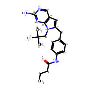 CCCC(=O)Nc1ccc(Cc2cc3cnc(N)nc3n2CC(C)(C)C)cc1